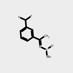 C/C(=N\[S+]([O-])C(C)(C)C)c1cccc(C(F)F)c1